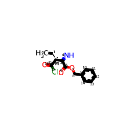 CC[C@H](C(=N)C(=O)OCc1ccccc1)C(=O)Cl